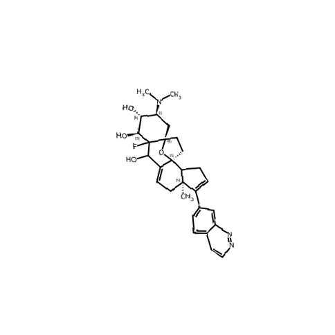 CN(C)[C@H]1C[C@@]23CC[C@@]4(O2)C(=CC[C@]2(C)C(c5ccc6ccnnc6c5)=CCC24)C(O)C3(F)[C@@H](O)[C@@H]1O